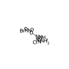 Nc1nc(Cl)nc(NCCCCOC(=O)NCc2cccc(Br)c2)c1N